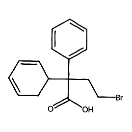 O=C(O)C(CCBr)(c1ccccc1)C1C=CC=CC1